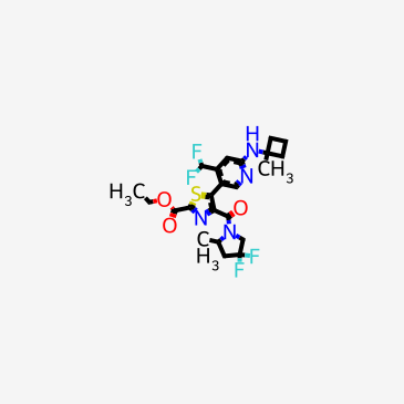 CCOC(=O)c1nc(C(=O)N2CC(F)(F)CC2C)c(-c2cnc(NC3(C)CCC3)cc2C(F)F)s1